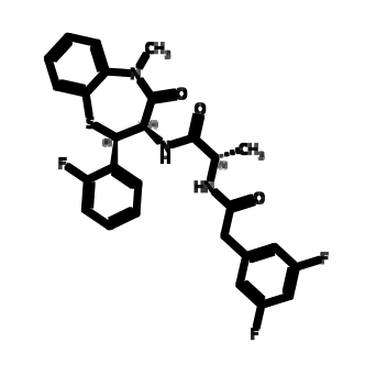 C[C@H](NC(=O)Cc1cc(F)cc(F)c1)C(=O)N[C@@H]1C(=O)N(C)c2ccccc2S[C@@H]1c1ccccc1F